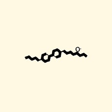 CCCCC[C@H]1CC[C@H]([C@H]2CC[C@H](CCCCC([O])CCC)CC2)CC1